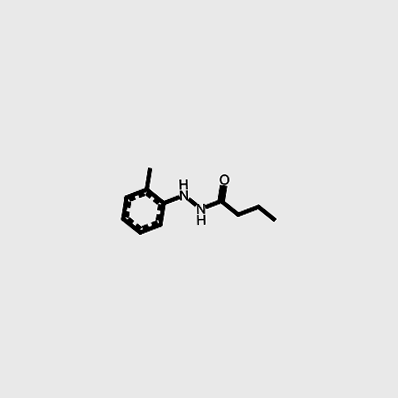 CCCC(=O)NNc1ccccc1C